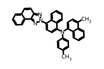 Cc1ccc(N(c2ccc(C)c3ccccc23)c2ccc(-n3nc4ccc5ccccc5c4n3)c3ccccc23)cc1